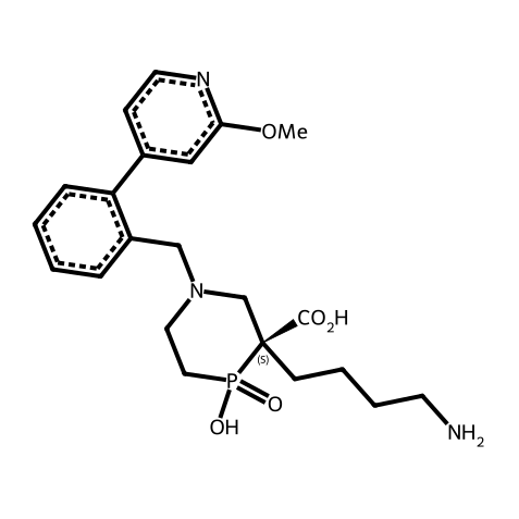 COc1cc(-c2ccccc2CN2CCP(=O)(O)[C@](CCCCN)(C(=O)O)C2)ccn1